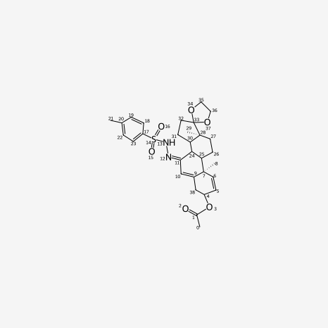 CC(=O)OC1C=C[C@@]2(C)C(=C/C(=N/NS(=O)(=O)c3ccc(C)cc3)C3C2CC[C@@]2(C)C3CCC23OCCO3)C1